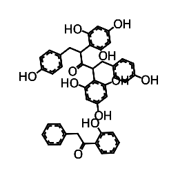 O=C(C(Cc1ccc(O)cc1)c1c(O)cc(O)cc1O)C(Cc1ccc(O)cc1)c1c(O)cc(O)cc1O.O=C(Cc1ccccc1)c1ccccc1O